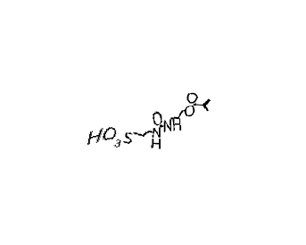 C=C(C)C(=O)OCCCNC(=O)NCCCS(=O)(=O)O